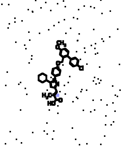 COc1ccc(-c2ccc(Cl)cc2)c(COc2ccc(-n3nc(/C=C(\C)C(=O)O)cc3C3CCCCC3)cc2)c1